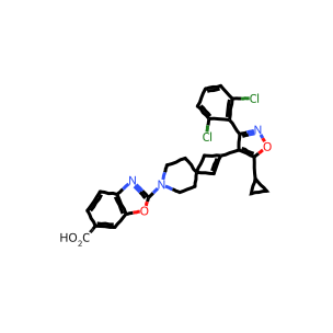 O=C(O)c1ccc2nc(N3CCC4(C=C(c5c(-c6c(Cl)cccc6Cl)noc5C5CC5)C4)CC3)oc2c1